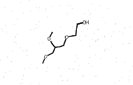 COCC(COCCO)OC